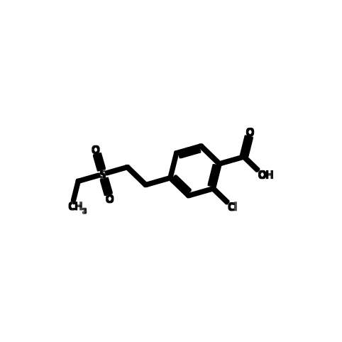 CCS(=O)(=O)CCc1ccc(C(=O)O)c(Cl)c1